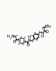 CC(C)(C)OC(=O)NCc1ccc(CNC(=O)N2CCN(C(=O)CN)CC2)cc1